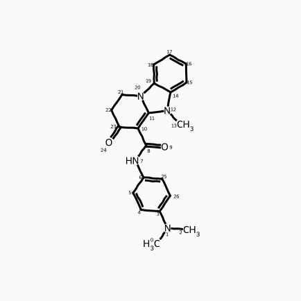 CN(C)c1ccc(NC(=O)C2=C3N(C)c4ccccc4N3CCC2=O)cc1